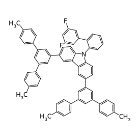 Cc1ccc(-c2cc(-c3ccc(C)cc3)cc(-c3ccc4c(c3)c3cc(-c5cc(-c6ccc(C)cc6)cc(-c6ccc(C)cc6)c5)ccc3n4-c3ccccc3-c3cc(F)cc(F)c3)c2)cc1